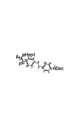 CCCCCCCCCCc1ccc(CCc2ccc(/C(F)=C(/F)CCCCCCC)cc2)cc1